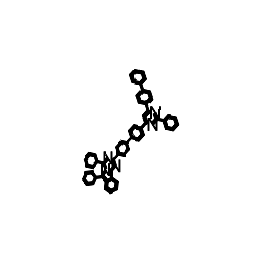 c1ccc(-c2ccc(-c3cc(-c4ccc(-c5ccc(-c6nc(-c7ccccc7)n7c(-c8ccccc8)c8ccccc8c7n6)cc5)cc4)nc(-c4ccccc4)n3)cc2)cc1